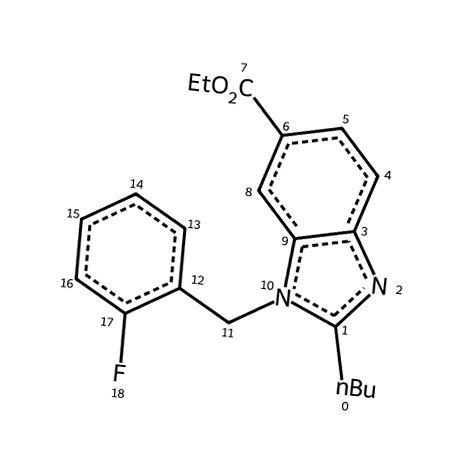 CCCCc1nc2ccc(C(=O)OCC)cc2n1Cc1ccccc1F